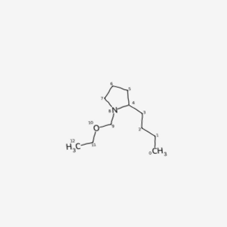 CCCCC1CCCN1COCC